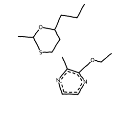 CCCC1CCSC(C)O1.CCOc1nccnc1C